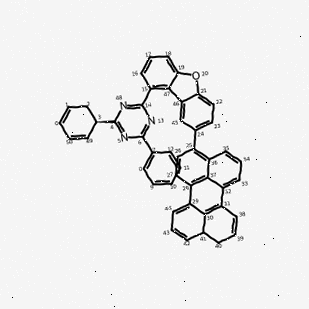 C1=CC[C@@H](c2nc(-c3ccccc3)nc(-c3cccc4oc5ccc(-c6ccc7c8c9c(c%10cccc6c%107)C=CCC9C=CC=8)cc5c34)n2)C=C1